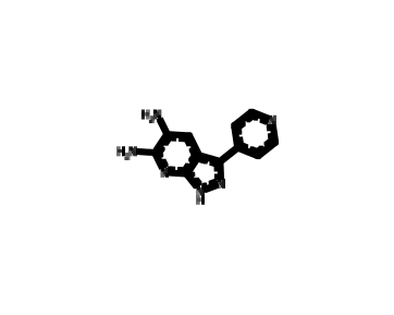 Nc1cc2c(-c3ccncc3)n[nH]c2nc1N